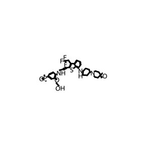 CP(C)(=O)c1ccc(NCC#Cc2sc3c(NC4CCC(N5CCC6(CC5)COC6)CC4)cccc3c2CC(F)(F)F)c(OCCO)c1